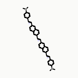 CN(C)c1ccc(/C=C/c2ccc3cc(/C=C/c4ccc5cc(/C=C/c6ccc(N(C)C)cc6)ccc5c4)ccc3c2)cc1